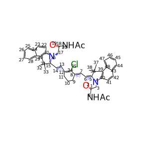 CC(=O)NC(=O)CN1/C(=C/C=C2\CCCC(/C=C/C3=[N+](CC(=O)NC(C)=O)c4ccc5ccccc5c4C3(C)C)=C2Cl)C(C)(C)c2c1ccc1ccccc21